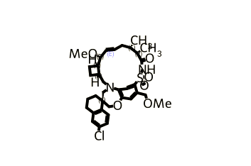 COCc1cc2c3cc1S(=O)(=O)NC(=O)[C@H](C)[C@@H](C)C/C=C/[C@H](OC)[C@@H]1CC[C@H]1CN3C[C@@]1(CCCc3cc(Cl)ccc31)CO2